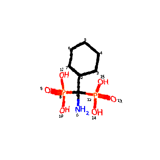 NC(C1CCCCC1)(P(=O)(O)O)P(=O)(O)O